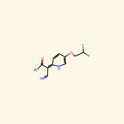 CC(C)C(=O)/C(C=N)=C1\C=CC(OCC(F)F)=CN1